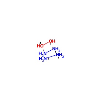 NN.NN.OO